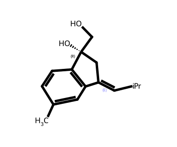 Cc1ccc2c(c1)/C(=C/C(C)C)C[C@]2(O)CO